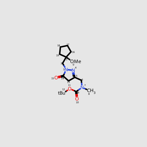 COC1(CN2N=C(CN(C)C(=O)OC(C)(C)C)CC2=O)CCCC1